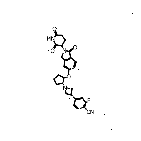 N#Cc1ccc(C2CN([C@@H]3CCC[C@H]3Oc3ccc4c(c3)CN(C3CCC(=O)NC3=O)C4=O)C2)cc1F